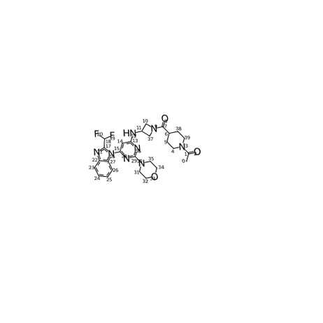 CC(=O)N1CCC(C(=O)N2CC(Nc3cc(-n4c(C(F)F)nc5ccccc54)nc(N4CCOCC4)n3)C2)CC1